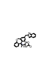 C/C(=C1/c2ccc(Cn3cc4ccccc4n3)cc2COc2ccccc21)c1noc(=O)[nH]1